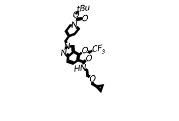 CC(C)(C)OC(=O)N1CCC(Cn2cc3c(OCC(F)(F)F)c(C(=O)NCCOCC4CC4)ccc3n2)CC1